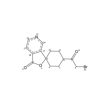 O=C1OC2(CCC(C(=O)CBr)CC2)c2cnccc21